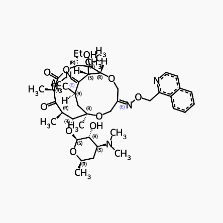 CC[C@H]1OC(=O)[C@H](C)C(=O)[C@H](C)[C@@H](O[C@@H]2O[C@H](C)C[C@H](N(C)C)[C@H]2O)[C@@]2(C)C[C@@H](C)/C(=N\C(C)=O)[C@H](C)[C@@H](OC/C(=N\OCc3nccc4ccccc34)CO2)[C@]1(C)O